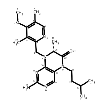 COc1c(C)cnc(CN2c3nc(N)ncc3N(CCC(C)C)C(=O)[C@H]2C)c1C